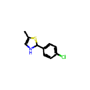 CC1=CNC(c2ccc(Cl)cc2)S1